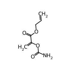 C=CCOC(=O)C(=C)OC(N)=O